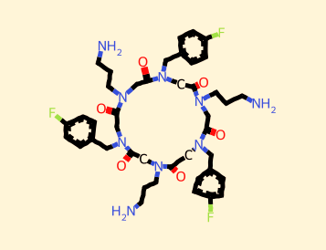 NCCCN1CC(=O)N(Cc2ccc(F)cc2)CC(=O)N(CCCN)CC(=O)N(Cc2ccc(F)cc2)CC(=O)N(CCCN)CC(=O)N(Cc2ccc(F)cc2)CC1=O